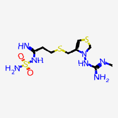 CN=C(N)NN1CSC=C1CSCCC(=N)NS(N)(=O)=O